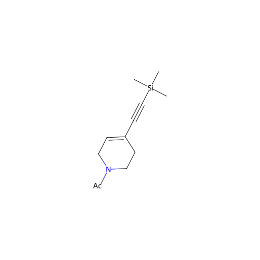 CC(=O)N1CC=C(C#C[Si](C)(C)C)CC1